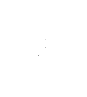 [C].[Co].[N].[Pt]